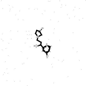 NC(CCN1CC[C@@H](F)C1)c1cc(Cl)ccn1